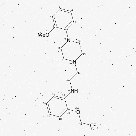 COc1ccccc1N1CCN(CCNc2ccccc2OCC(F)(F)F)CC1